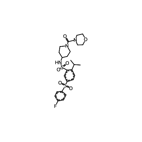 CC(C)c1ccc(S(=O)(=O)c2ccc(F)cc2)cc1S(=O)(=O)NC1CCN(C(=O)N2CCOCC2)CC1